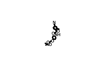 CC(C)(C)OC(=O)COC1CCC(NC(=O)c2occ3cc(C#N)ccc23)CC1